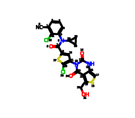 N#Cc1cccc(N(C(=O)c2cc(-n3c(=O)[nH]c4csc(CO)c4c3=O)c(Cl)s2)C2CC2)c1Cl